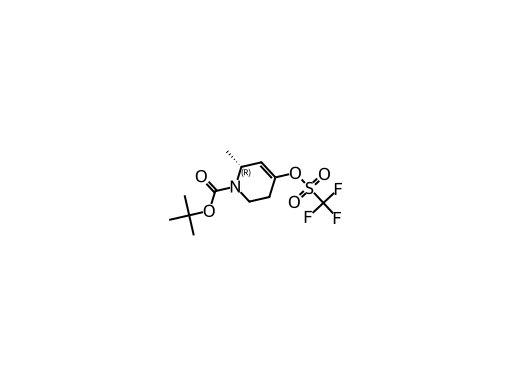 C[C@@H]1C=C(OS(=O)(=O)C(F)(F)F)CCN1C(=O)OC(C)(C)C